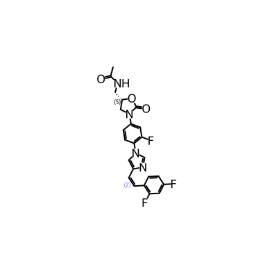 CC(=O)NC[C@H]1CN(c2ccc(-n3cnc(/C=C\c4ccc(F)cc4F)c3)c(F)c2)C(=O)O1